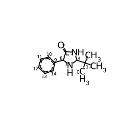 CC(C)(C)C1NC(=O)C(c2ccccc2)N1